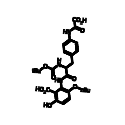 CCCCOc1ccc(O)c(C(=O)O)c1NC(=O)C(Cc1ccc(NC(=O)C(=O)O)cc1)NC(=O)OC(C)(C)C